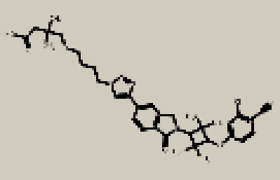 CC(C)(COCCCCn1cc(-c2ccc3c(c2)CN(C2C(C)(C)C(Oc4ccc(C#N)c(Cl)c4)C2(C)C)C3=O)nn1)CC(=O)O